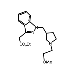 CCOC(=O)Cc1nn(CC2CCN(CCOC)C2)c2ccccc12